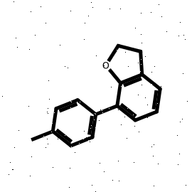 Cc1ccc(-c2cccc3c2OCC3)cc1